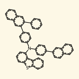 c1ccc(-c2cc3ccccc3cc2-c2ccc(N(c3ccc(-c4ccc5ccccc5c4)cc3)c3cccc4sc5ccccc5c34)cc2)cc1